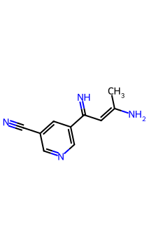 C/C(N)=C\C(=N)c1cncc(C#N)c1